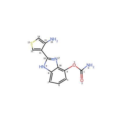 NC(=O)Oc1cccc2[nH]c(-c3cscc3N)nc12